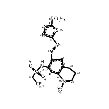 CCOC(=O)c1nnc(N=Nc2cc3c(cc2NS(=O)(=O)CC(F)(F)F)N(CC)CCC3)s1